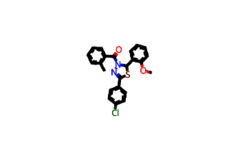 COc1ccccc1C1SC(c2ccc(Cl)cc2)=NN1C(=O)c1ccccc1C